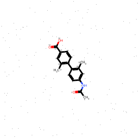 CC(=O)Nc1ccc(-c2ccc(C(=O)O)cc2C)c(C)c1